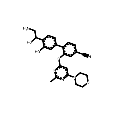 Cc1nc(Oc2cc(C#N)ccc2-c2ccc(C(O)CN)c(O)c2)cc(N2CCOCC2)n1